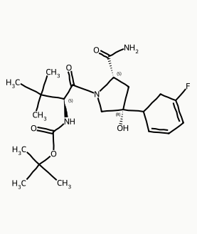 CC(C)(C)OC(=O)N[C@H](C(=O)N1C[C@](O)(C2C=CC=C(F)C2)C[C@H]1C(N)=O)C(C)(C)C